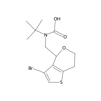 CC(C)(C)N(CC1OCCc2scc(Br)c21)C(=O)O